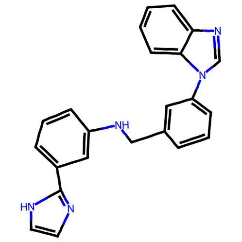 c1cc(NCc2cccc(-n3cnc4ccccc43)c2)cc(-c2ncc[nH]2)c1